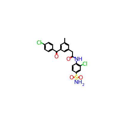 Cc1cc(CC(=O)Nc2ccc(S(N)(=O)=O)cc2Cl)cc(C(=O)c2ccc(Cl)cc2)c1